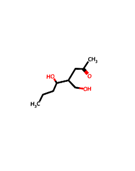 CCCC(O)C(CO)CC(C)=O